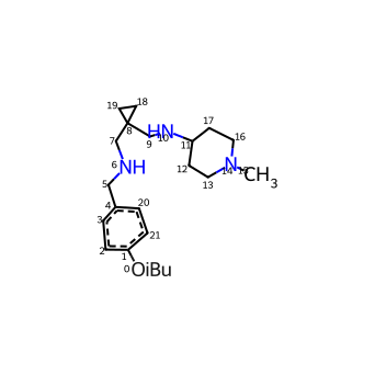 CC(C)COc1ccc(CNCC2(CNC3CCN(C)CC3)CC2)cc1